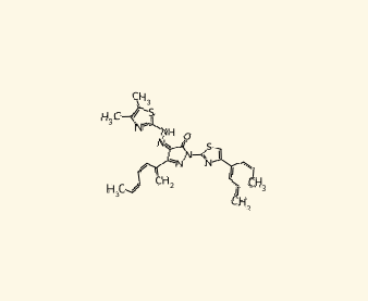 C=C/C=C(\C=C/C)c1csc(N2N=C(C(=C)/C=C\C=C/C)/C(=N/Nc3nc(C)c(C)s3)C2=O)n1